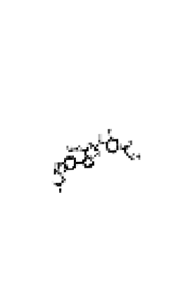 COc1nc(N[C@H]2CCN(C(=O)CO)C[C@H]2F)nn2ccc(-c3ccc4nnn(C[C@@H](C)F)c4c3)c12